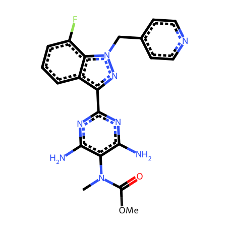 COC(=O)N(C)c1c(N)nc(-c2nn(Cc3ccncc3)c3c(F)cccc23)nc1N